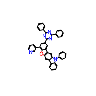 c1ccc(-c2nc(-c3ccccc3)nc(-c3cc(-c4cccnc4)c4oc5cc6c7ccccc7n(-c7ccccc7)c6cc5c4c3)n2)cc1